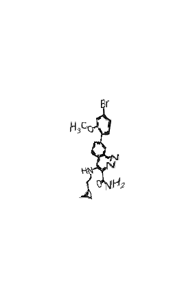 COc1cc(Br)ccc1-c1ccc2c(NCCC3CC3)c(C(N)=O)nnc2c1